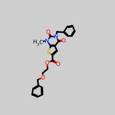 Cn1c(=O)n(Cc2ccccc2)c(=O)c2cc(C(=O)OCCOCc3ccccc3)sc21